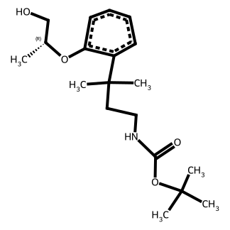 C[C@H](CO)Oc1ccccc1C(C)(C)CCNC(=O)OC(C)(C)C